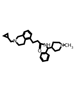 CN1CCC(C(NC(=O)CCc2cccc3c2CCN(CC2CC2)C3)c2ccccc2)CC1